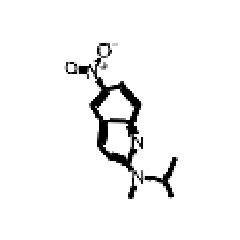 CC(C)N(C)c1ccc2cc([N+](=O)[O-])ccc2n1